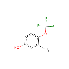 Cc1cc(O)ccc1OC(F)(F)F